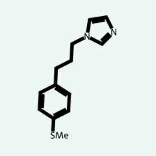 CSc1ccc(CCCn2ccnc2)cc1